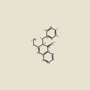 CC(C)Cc1nc2nnccc2c(=O)n1Cc1ccccc1